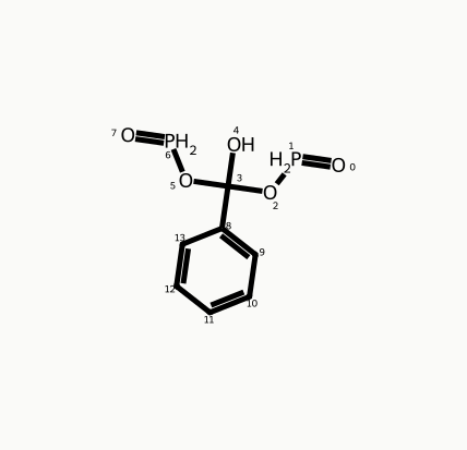 O=[PH2]OC(O)(O[PH2]=O)c1ccccc1